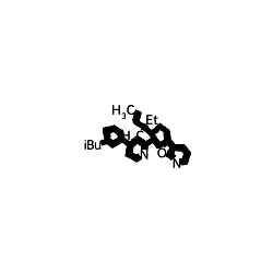 CC=CC(C)(CC)C1CC=c2c(oc3ncccc23)=C1c1cc(-c2cccc(C(C)CC)c2)ccn1